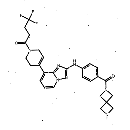 O=C(CCC(F)(F)F)N1CC=C(c2cccn3nc(Nc4ccc(C(=O)N5CC6(CNC6)C5)cc4)nc23)CC1